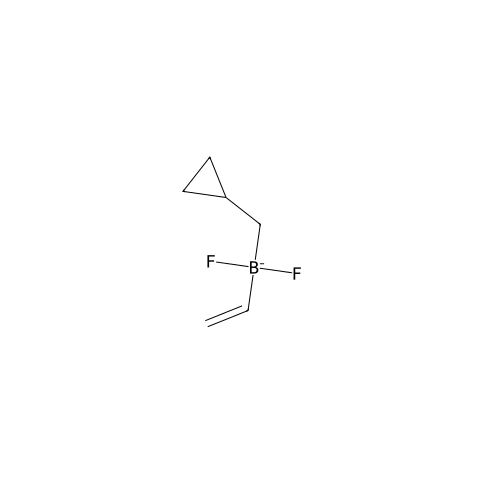 C=C[B-](F)(F)CC1CC1